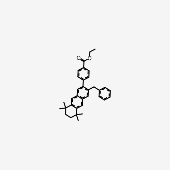 CCOC(=O)c1ccc(-c2cc3cc4c(cc3cc2Cc2ccccc2)C(C)(C)CCC4(C)C)cc1